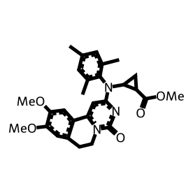 COC(=O)C1CC1N(c1cc2n(c(=O)n1)CCc1cc(OC)c(OC)cc1-2)c1c(C)cc(C)cc1C